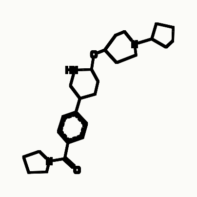 O=C(c1ccc(C2CCC(OC3CCN(C4CCCC4)CC3)NC2)cc1)N1CCCC1